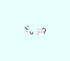 Nc1ncnc2c1ncn2[C@@H]1O[C@H](COP(O)(=S)OP(=O)(O)O[C@@H]2OC(CO)[C@@H](O)[C@H](O)C2O)[C@H](O)C1O